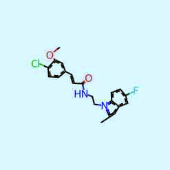 COc1cc(/C=C/C(=O)NCCn2c(C)cc3cc(F)ccc32)ccc1Cl